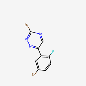 Fc1ccc(Br)cc1-c1cnc(Br)nn1